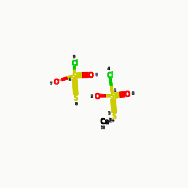 O=S([O-])(=S)Cl.O=S([O-])(=S)Cl.[Ca+2]